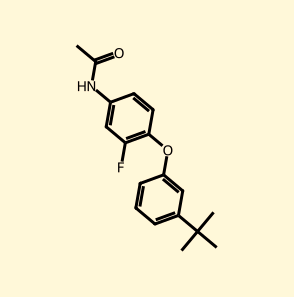 CC(=O)Nc1ccc(Oc2cccc(C(C)(C)C)c2)c(F)c1